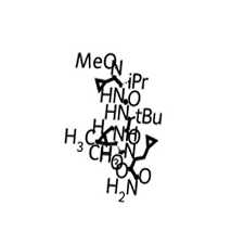 CO/N=C(\C1CC1)[C@@H](NC(=O)N[C@H](C(=O)N1C[C@H]2[C@@H]([C@H]1C(=O)NC(CC1CC1)C(=O)C(N)=O)C2(C)C)C(C)(C)C)C(C)C